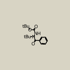 CC(C)(C)OC(=O)NN(C(=O)c1ccccc1)C(C)(C)C